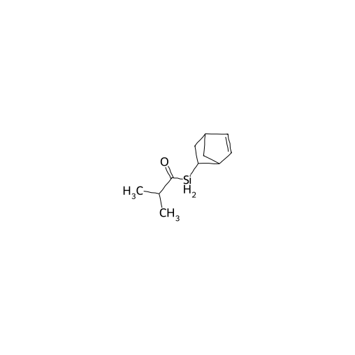 CC(C)C(=O)[SiH2]C1CC2C=CC1C2